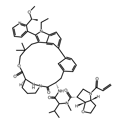 C=CC(=O)N1C[C@@H](C(=O)N(C)C(C(=O)N[C@H]2Cc3cccc(c3)-c3ccc4c(c3)c(c(-c3cccnc3[C@H](C)OC)n4CC)CC(C)(C)COC(=O)[C@@H]3CCCN(N3)C2=O)C(C)C)[C@H]2OCC[C@H]21